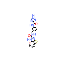 Cc1csc2nc(C(=O)NCc3cccc(NC(=O)c4nc[nH]n4)c3)[nH]c(=O)c12